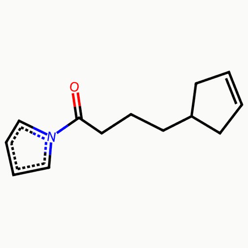 O=C(CCCC1CC=CC1)n1cccc1